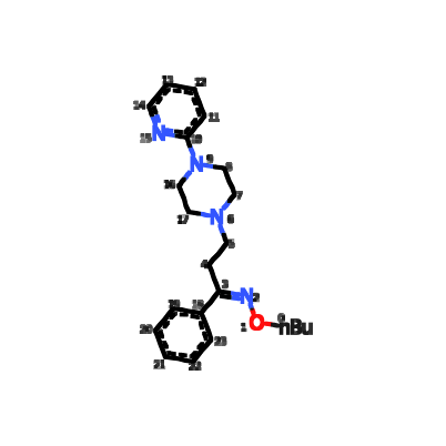 CCCCON=C(CCN1CCN(c2ccccn2)CC1)c1ccccc1